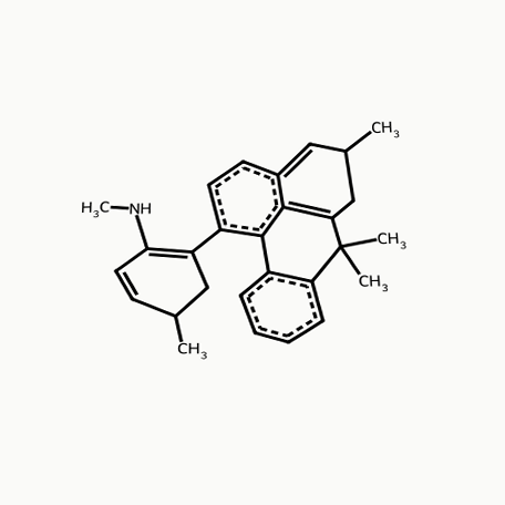 CNC1=C(c2ccc3c4c2-c2ccccc2C(C)(C)C=4CC(C)C=3)CC(C)C=C1